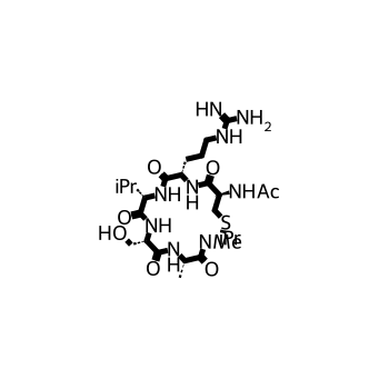 CNC(=O)[C@H](C)NC(=O)[C@H](CO)NC(=O)[C@@H](NC(=O)[C@H](CCCNC(=N)N)NC(=O)[C@H](CSC(C)C)NC(C)=O)C(C)C